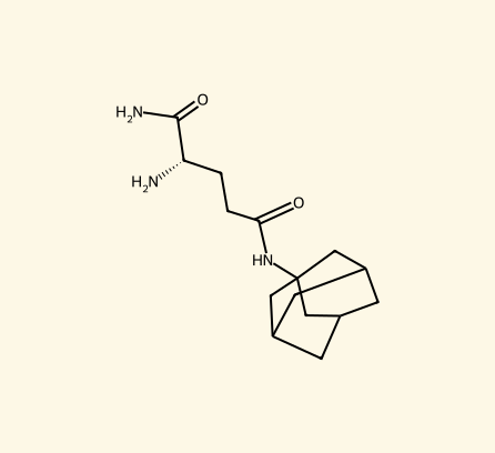 NC(=O)[C@@H](N)CCC(=O)NC12CC3CC(CC(C3)C1)C2